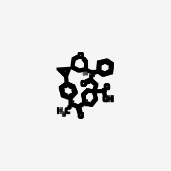 CN(C(=O)N1CCC(CC(=O)N(c2ccccc2)[C@H]2CCCOC2)(C(=O)O)CC1)c1ccc(C2CC2)cc1